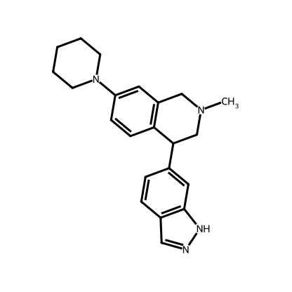 CN1Cc2cc(N3CCCCC3)ccc2C(c2ccc3cn[nH]c3c2)C1